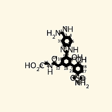 N=C(N)c1ccc2[nH]c(-c3cc(CC(=O)NCC(=O)O)cc(-c4cc(S(N)(=O)=O)ccc4O)c3O)nc2c1